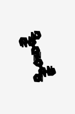 c1ccc(-c2cc(-c3ccc(/N=N/c4ccc(-c5cc(-c6ccccn6)nc(-c6ccccn6)c5)cc4)cc3)cc(-c3ccccn3)n2)nc1